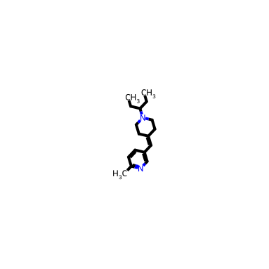 CCC(CC)N1CCC(=Cc2ccc(C)nc2)CC1